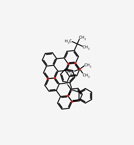 CC(C)(C)c1cc(-c2cccc3cccc(-c4ccccc4N(c4ccccc4)c4ccccc4-c4cccc5c6ccccc6n(-c6ccccc6)c45)c23)cc(C(C)(C)C)c1